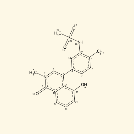 Cc1ccc(-c2cn(C)c(=O)c3cccc(O)c23)cc1NS(C)(=O)=O